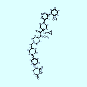 CN(C(=O)C1(OC2CC2)CCN(c2cnnc(-c3ccccc3O)c2)CC1)C1CCN(CC2CCN(c3ccc([C@H]4CCC(=O)NC4=O)cc3)CC2)CC1